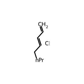 C=CC=CCCCC.[C]